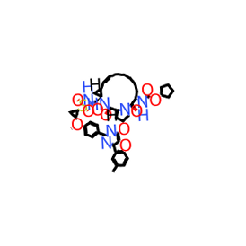 COc1ccc(-c2nc(O[C@@H]3C[C@H]4C(=O)N[C@]5(C(=O)NS(=O)(=O)C6CC6)C[C@H]5/C=C\CCCCC[C@H](NC(=O)OC5CCCC5)C(=O)N4C3)c3oc4ccc(C)cc4c3n2)cc1